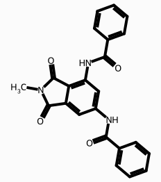 CN1C(=O)c2cc(NC(=O)c3ccccc3)cc(NC(=O)c3ccccc3)c2C1=O